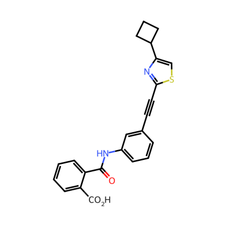 O=C(O)c1ccccc1C(=O)Nc1cccc(C#Cc2nc(C3CCC3)cs2)c1